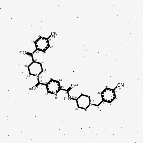 N#Cc1ccc(CN2CCC(NC(=O)c3ccc(C(=O)N4CCC(C(=O)c5ccc(C#N)cc5)CC4)cn3)CC2)cc1